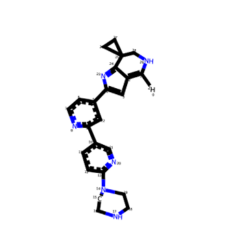 [2H]C1=C2C=C(c3ccnc(-c4ccc(N5CCNCC5)nc4)c3)N=C2C2(CC2)CN1